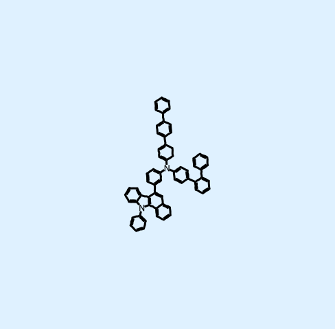 C1=C(c2ccc(-c3ccccc3)cc2)CCC(N(c2ccc(-c3ccccc3-c3ccccc3)cc2)c2cccc(-c3cc4ccccc4c4c3c3ccccc3n4-c3ccccc3)c2)=C1